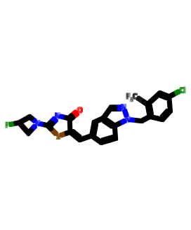 O=C1N=C(N2CC(F)C2)SC1=Cc1ccc2c(cnn2Cc2ccc(Cl)cc2C(F)(F)F)c1